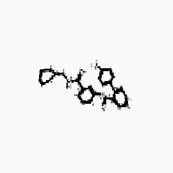 O=C(NCC1CCCCC1)c1cccc(NC(=O)c2ccccc2-c2ccc(C(F)(F)F)cc2)c1